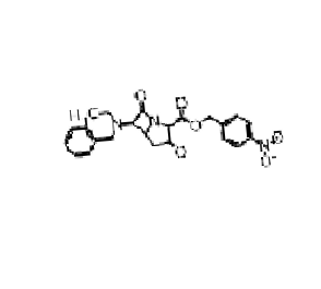 CCN(Cc1ccccc1)C1C(=O)N2C(C(=O)OCc3ccc([N+](=O)[O-])cc3)C(=O)CC12